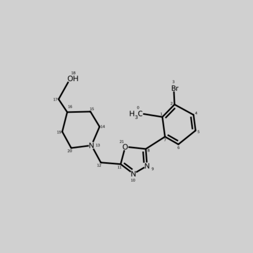 Cc1c(Br)cccc1-c1nnc(CN2CCC(CO)CC2)o1